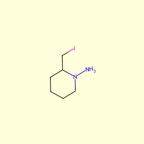 NN1CCCCC1CI